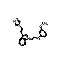 COc1cccc(OCCn2cc(C=Cn3cnnc3)c3ccccc32)c1